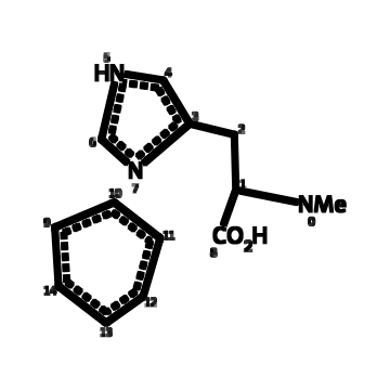 CNC(Cc1c[nH]cn1)C(=O)O.c1ccccc1